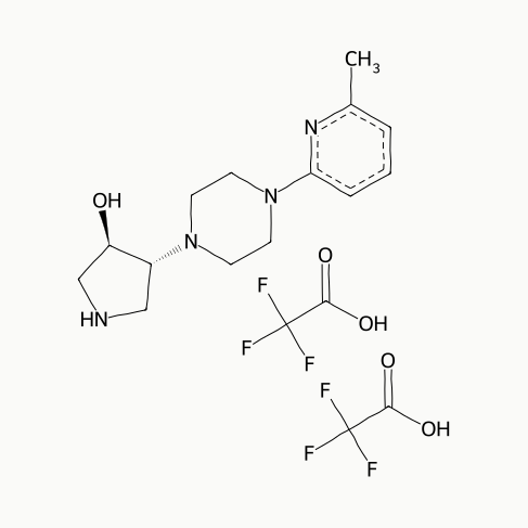 Cc1cccc(N2CCN([C@@H]3CNC[C@H]3O)CC2)n1.O=C(O)C(F)(F)F.O=C(O)C(F)(F)F